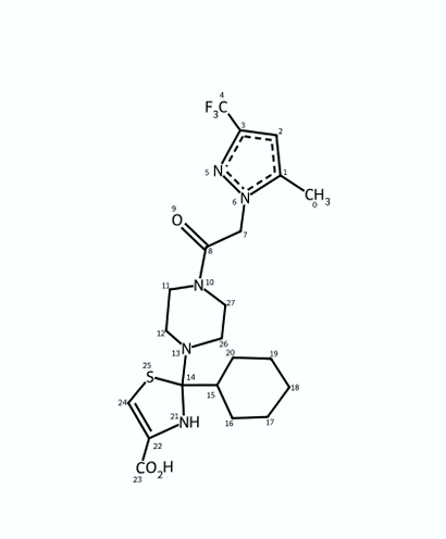 Cc1cc(C(F)(F)F)nn1CC(=O)N1CCN(C2(C3CCCCC3)NC(C(=O)O)=CS2)CC1